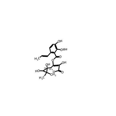 CC=Cc1ccc(O)c(OC)c1C(=O)OC1=C(O)C(=O)O[C@@H]1[C@@]1(O)C(O)C1(C)C